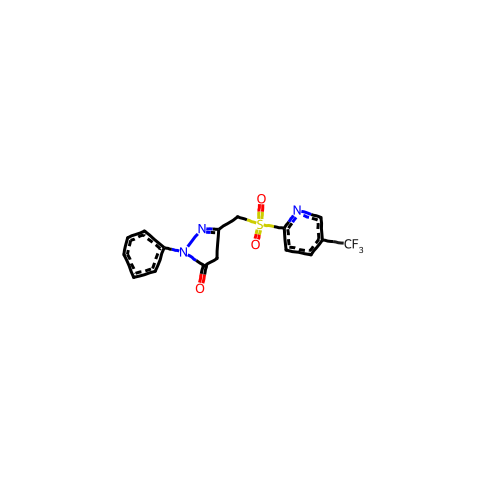 O=C1CC(CS(=O)(=O)c2ccc(C(F)(F)F)cn2)=NN1c1ccccc1